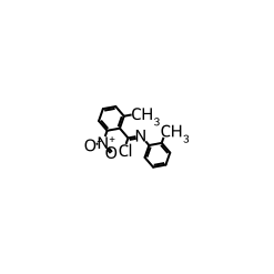 Cc1ccccc1/N=C(\Cl)c1c(C)cccc1[N+](=O)[O-]